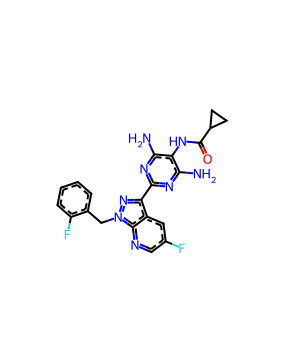 Nc1nc(-c2nn(Cc3ccccc3F)c3ncc(F)cc23)nc(N)c1NC(=O)C1CC1